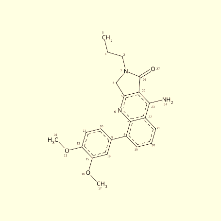 CCCN1Cc2nc3c(-c4ccc(OC)c(OC)c4)cccc3c(N)c2C1=O